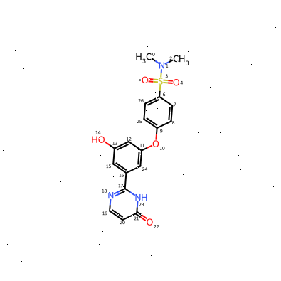 CN(C)S(=O)(=O)c1ccc(Oc2cc(O)cc(-c3nccc(=O)[nH]3)c2)cc1